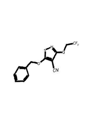 N#Cc1c(OCC(F)(F)F)nsc1OCc1ccccc1